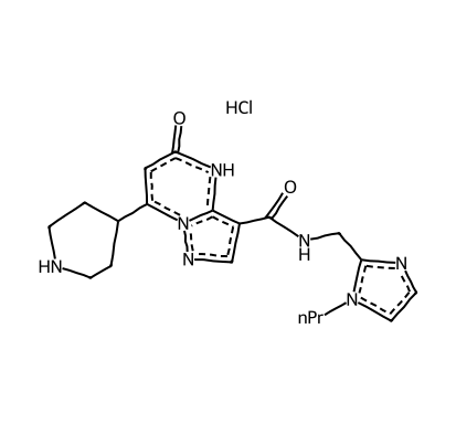 CCCn1ccnc1CNC(=O)c1cnn2c(C3CCNCC3)cc(=O)[nH]c12.Cl